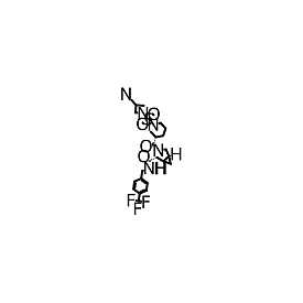 N#CC1CN(S(=O)(=O)N2CCC[C@H](C(=O)N3C[C@@H]4C[C@@H]4[C@@H]3C(=O)NCc3ccc(C(F)(F)F)cc3)C2)C1